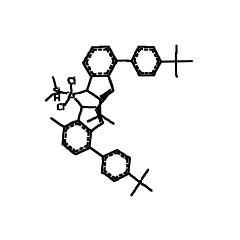 CC1=Cc2c(-c3ccc(C(C)(C)C)cc3)ccc(C)c2[CH]1[Zr]([Cl])([Cl])([CH]1C(C(C)C)=Cc2c(-c3ccc(C(C)(C)C)cc3)cccc21)[SiH](C)C